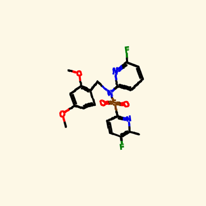 COc1ccc(CN(c2cccc(F)n2)S(=O)(=O)c2ccc(F)c(C)n2)c(OC)c1